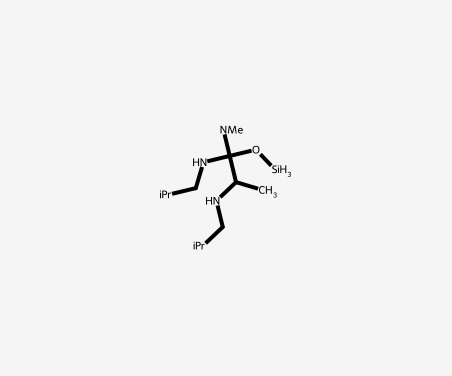 CNC(NCC(C)C)(O[SiH3])C(C)NCC(C)C